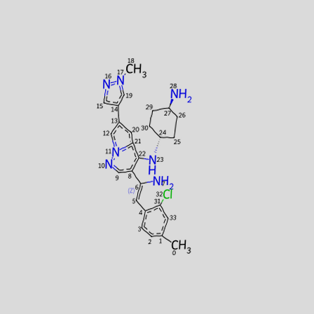 Cc1ccc(/C=C(\N)c2cnn3cc(-c4cnn(C)c4)cc3c2N[C@H]2CC[C@H](N)CC2)c(Cl)c1